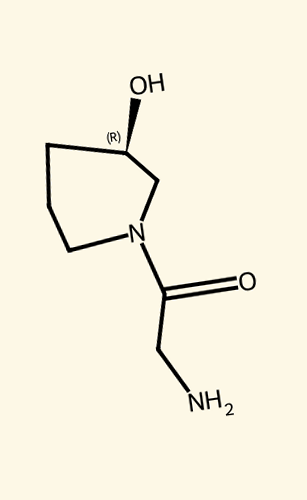 NCC(=O)N1CCC[C@@H](O)C1